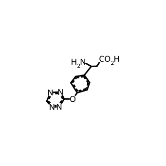 NC(CC(=O)O)c1ccc(Oc2nncnn2)cc1